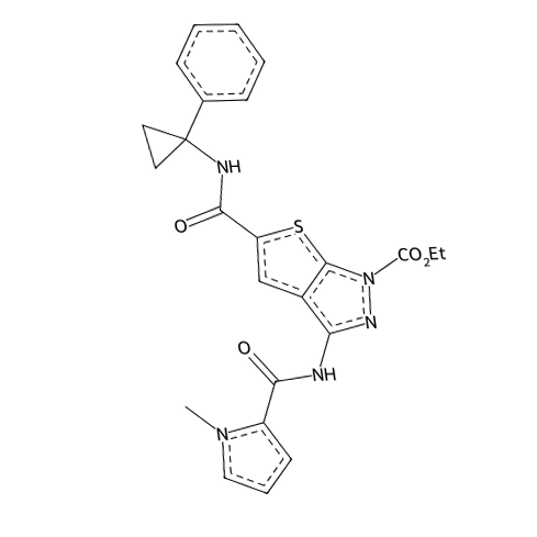 CCOC(=O)n1nc(NC(=O)c2cccn2C)c2cc(C(=O)NC3(c4ccccc4)CC3)sc21